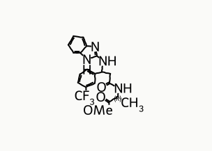 COC(=O)[C@@H](C)NC(=O)CC(Nc1nc2ccccc2[nH]1)c1cccc(C(F)(F)F)c1